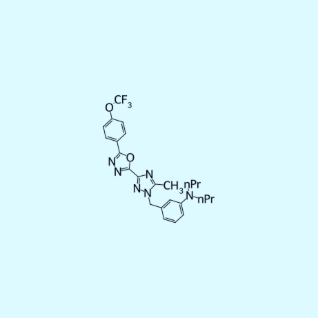 CCCN(CCC)c1cccc(Cn2nc(-c3nnc(-c4ccc(OC(F)(F)F)cc4)o3)nc2C)c1